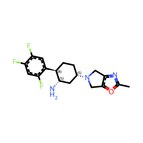 Cc1nc2c(o1)CN([C@H]1CC[C@H](c3cc(F)c(F)cc3F)[C@@H](N)C1)C2